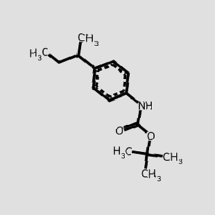 CCC(C)c1ccc(NC(=O)OC(C)(C)C)cc1